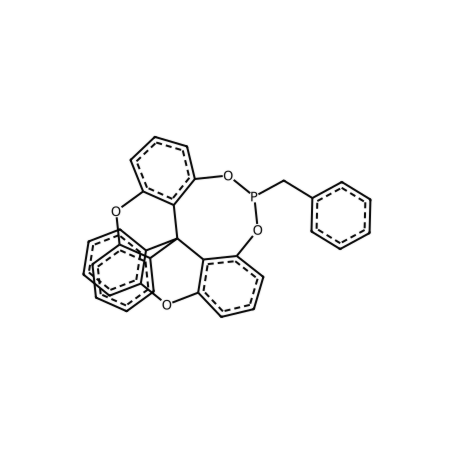 c1ccc(CP2Oc3cccc4c3C3(c5ccccc5O4)c4ccccc4Oc4cccc(c43)O2)cc1